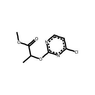 COC(=O)C(C)Oc1nccc(Cl)n1